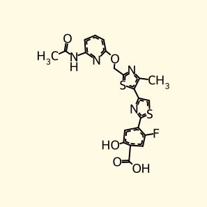 CC(=O)Nc1cccc(OCc2nc(C)c(-c3csc(-c4cc(O)c(C(=O)O)cc4F)n3)s2)n1